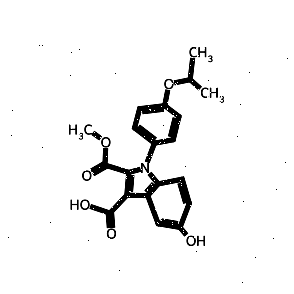 COC(=O)c1c(C(=O)O)c2cc(O)ccc2n1-c1ccc(OC(C)C)cc1